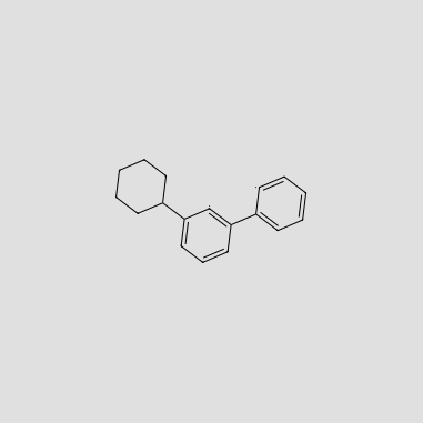 [c]1ccccc1-c1[c]c(C2CCCCC2)ccc1